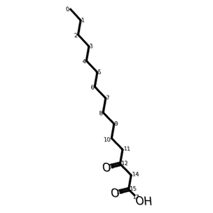 CCCCCCCCCCCCC(=O)CC(=O)O